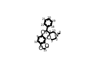 CN1CCOC(C(Oc2ccc3c(c2)OCO3)c2ccccc2)C1